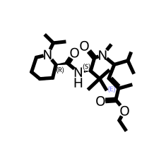 CCOC(=O)/C(C)=C/C(C(C)C)N(C)C(=O)[C@@H](NC(=O)[C@H]1CCCCN1C(C)C)C(C)(C)C